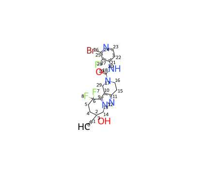 C#C[C@@]1(O)CCC(F)(F)c2c3c(nn2C1)CCN(C(=O)Nc1ccnc(Br)c1F)C3